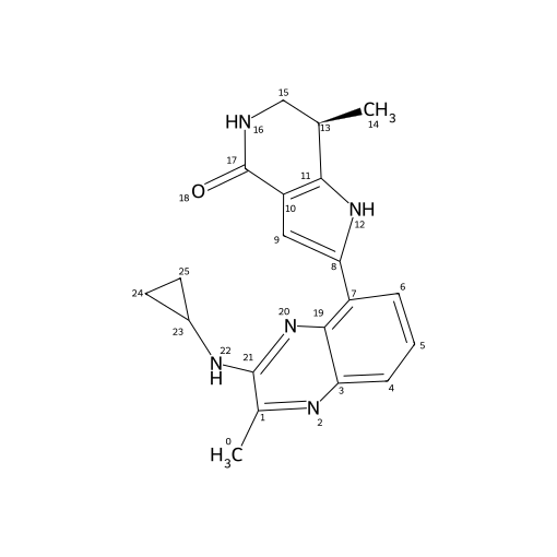 Cc1nc2cccc(-c3cc4c([nH]3)[C@H](C)CNC4=O)c2nc1NC1CC1